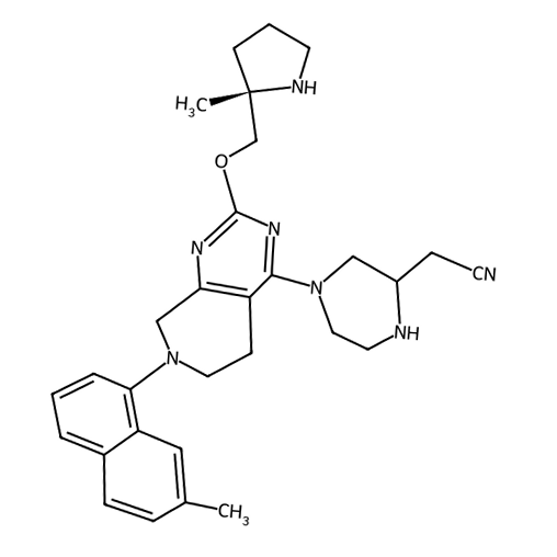 Cc1ccc2cccc(N3CCc4c(nc(OC[C@]5(C)CCCN5)nc4N4CCNC(CC#N)C4)C3)c2c1